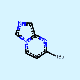 CC(C)(C)c1ccn2cncc2n1